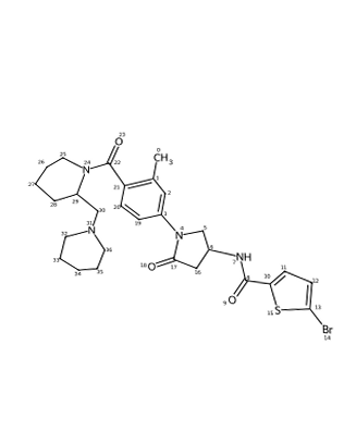 Cc1cc(N2CC(NC(=O)c3ccc(Br)s3)CC2=O)ccc1C(=O)N1CCCCC1CN1CCCCC1